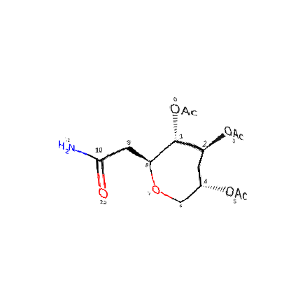 CC(=O)O[C@@H]1[C@@H](OC(C)=O)[C@H](OC(C)=O)CO[C@H]1CC(N)=O